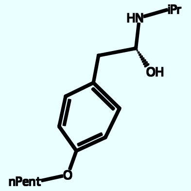 CCCCCOc1ccc(C[C@@H](O)NC(C)C)cc1